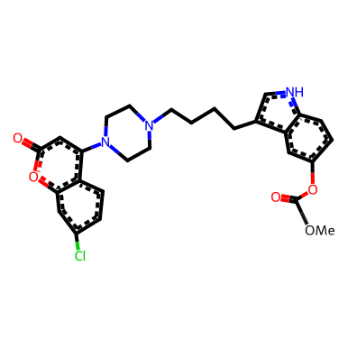 COC(=O)Oc1ccc2[nH]cc(CCCCN3CCN(c4cc(=O)oc5cc(Cl)ccc45)CC3)c2c1